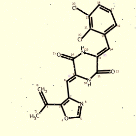 C=C(C)c1ocnc1/C=c1\[nH]c(=O)/c(=C/c2cccc(Cl)c2Cl)[nH]c1=O